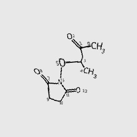 CC(=O)C(C)ON1C(=O)CCC1=O